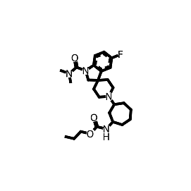 CCCOC(=O)NC1CCCCC(N2CCC3(CC2)CN(C(=O)N(C)C)c2ccc(F)cc23)C1